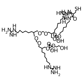 N=C(N)NCCCCCCC(COCOCC(CCCCCCNC(=N)N)COP(=O)(O)OCCO)COCOCC(CCCCCCNC(=N)N)COP(=O)(O)OCCCCCCNC(=O)C(N)CS